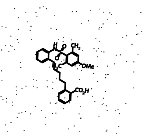 COc1cc(C)c(S(=O)(=O)Nc2ccccc2CCCCCc2ccccc2C(=O)O)c(C)c1